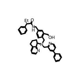 CC[C@H](C(=O)NCc1ccc(CN(Cc2cc(-c3ccccc3)ccn2)C2CCCc3cccnc32)c(CO)c1)c1ccccc1